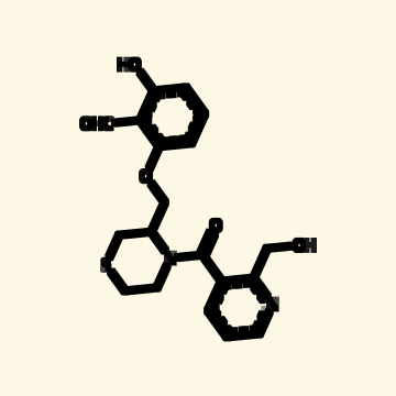 O=Cc1c(O)cccc1OCC1CSCCN1C(=O)c1cccnc1CO